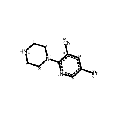 CC(C)c1cnc(N2CCNCC2)c(C#N)c1